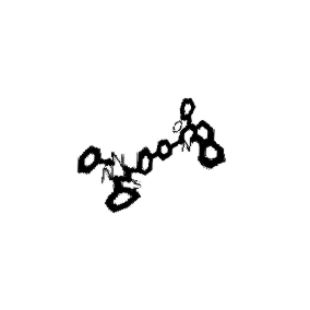 c1ccc(-c2nc(-c3ccc(-c4ccc(-c5nc6c7ccccc7ccc6c6c5oc5ccccc56)cc4)cc3)c3sc4ccccc4c3n2)cc1